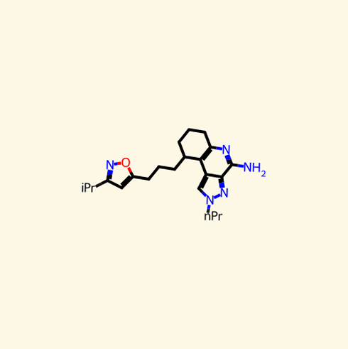 CCCn1cc2c3c(nc(N)c2n1)CCCC3CCCc1cc(C(C)C)no1